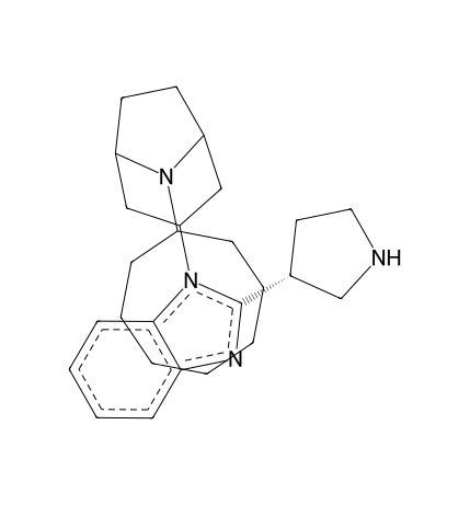 c1ccc2c(c1)nc([C@@H]1CCNC1)n2C1CC2CCC(C1)N2C1CCCCCCC1